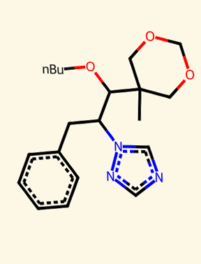 CCCCOC(C(Cc1ccccc1)n1cncn1)C1(C)COCOC1